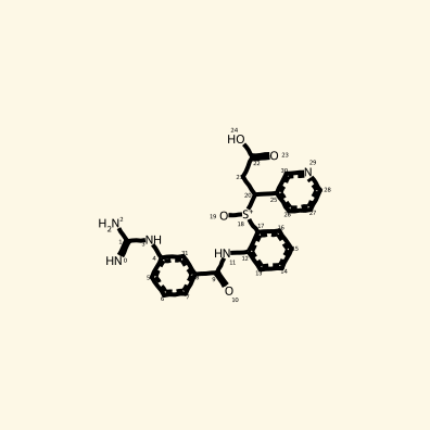 N=C(N)Nc1cccc(C(=O)Nc2ccccc2[S+]([O-])C(CC(=O)O)c2cccnc2)c1